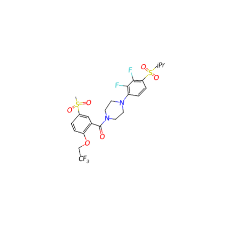 CC(C)S(=O)(=O)c1ccc(N2CCN(C(=O)c3cc(S(C)(=O)=O)ccc3OCC(F)(F)F)CC2)c(F)c1F